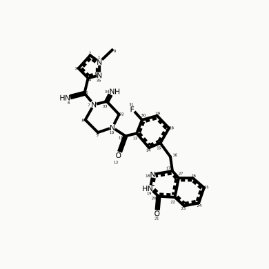 Cn1ccc(C(=N)N2CCN(C(=O)c3cc(Cc4n[nH]c(=O)c5ccccc45)ccc3F)CC2=N)n1